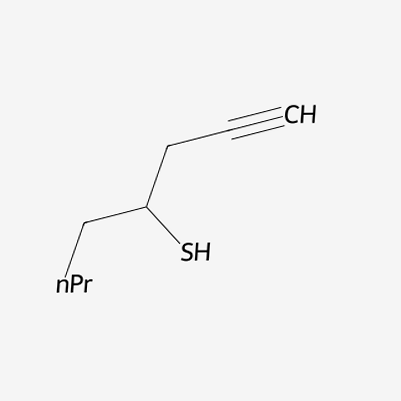 C#CCC(S)CCCC